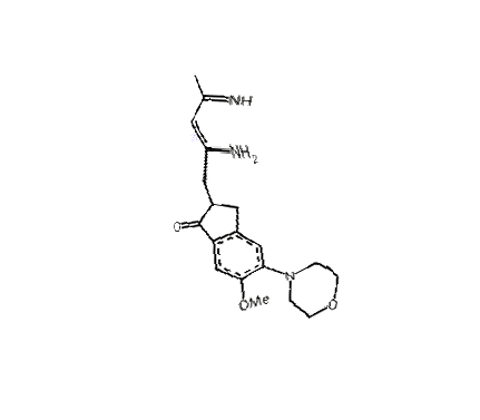 COc1cc2c(cc1N1CCOCC1)CC(C/C(N)=C/C(C)=N)C2=O